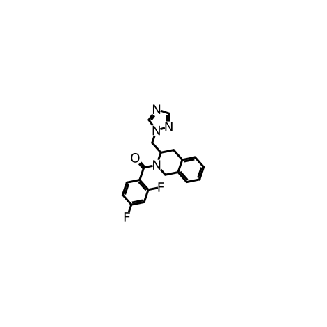 O=C(c1ccc(F)cc1F)N1Cc2ccccc2CC1Cn1cncn1